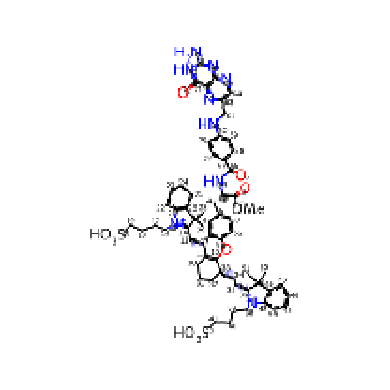 COC(=O)[C@H](Cc1ccc(OC2=C(/C=C/C3=[N+](CCCCS(=O)(=O)O)c4ccccc4C3(C)C)CCC/C2=C\C=C2\N(CCCCS(=O)(=O)O)c3ccccc3C2(C)C)cc1)NC(=O)c1ccc(NCc2cnc3nc(N)[nH]c(=O)c3n2)cc1